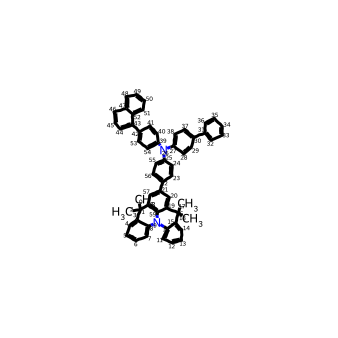 CC1(C)c2ccccc2N2c3ccccc3C(C)(C)c3cc(-c4ccc(N(c5ccc(-c6ccccc6)cc5)c5ccc(-c6cccc7ccccc67)cc5)cc4)cc1c32